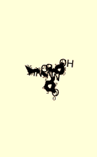 COc1cccc(-c2nc3ccc(O)cc3c(=O)n2CC(=O)NCC2CC2)c1